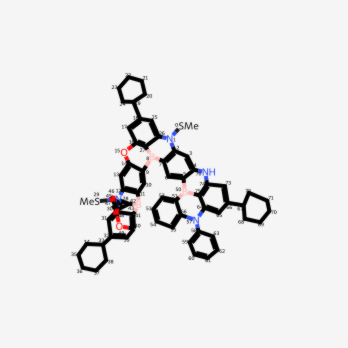 CSN1c2cc3c(cc2B2c4cc5c(cc4Oc4cc(C6CCCCC6)cc1c42)N(SC)c1cc(C2CCCCC2)cc2c1B5c1ccccc1O2)B1c2ccccc2N(c2ccccc2)c2cc(C4CCCCC4)cc(c21)N3